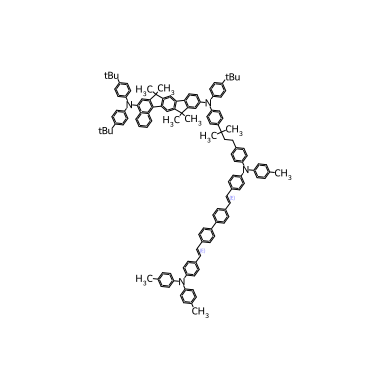 Cc1ccc(N(c2ccc(C)cc2)c2ccc(/C=C/c3ccc(-c4ccc(/C=C/c5ccc(N(c6ccc(C)cc6)c6ccc(CCC(C)(C)c7ccc(N(c8ccc(C(C)(C)C)cc8)c8ccc9c(c8)C(C)(C)c8cc%10c(cc8-9)C(C)(C)c8cc(N(c9ccc(C(C)(C)C)cc9)c9ccc(C(C)(C)C)cc9)c9ccccc9c8-%10)cc7)cc6)cc5)cc4)cc3)cc2)cc1